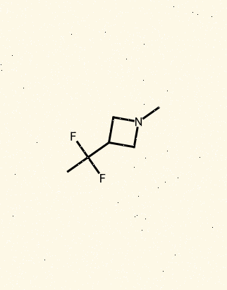 CN1CC(C(C)(F)F)C1